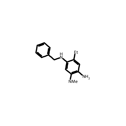 CCc1cc(N)c(NC)cc1NCc1ccccc1